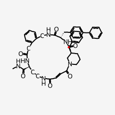 CNC(=O)[C@@H]1CCNC(=O)/C=C/C(=O)N2CCC[C@](Cc3ccccc3)(C2)C(=O)N[C@@H](Cc2ccc(-c3ccccc3)cc2)C(=O)NCc2ccccc2CC(=O)N1